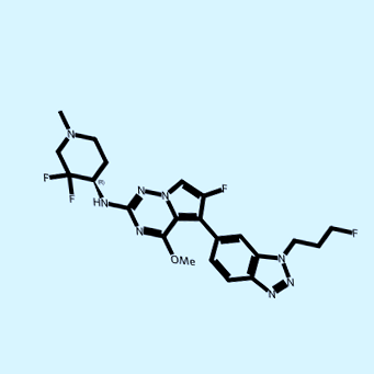 COc1nc(N[C@@H]2CCN(C)CC2(F)F)nn2cc(F)c(-c3ccc4nnn(CCCF)c4c3)c12